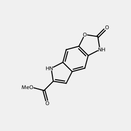 COC(=O)c1cc2cc3[nH]c(=O)oc3cc2[nH]1